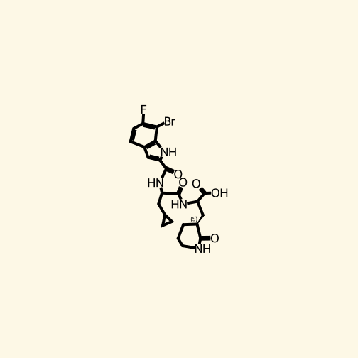 O=C(NC(CC1CC1)C(=O)NC(C[C@@H]1CCCNC1=O)C(=O)O)c1cc2ccc(F)c(Br)c2[nH]1